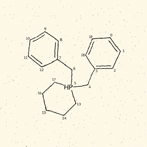 c1ccc(C[PH]2(Cc3ccccc3)CCCCC2)cc1